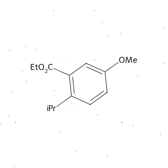 CCOC(=O)c1cc(OC)ccc1C(C)C